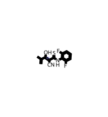 C=C(C)/C(O)=C(\C#N)C(=S)Nc1c(F)cccc1F